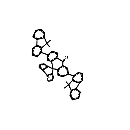 CC1(C)c2ccccc2-c2cccc(-c3ccc4c(c3)C(=O)c3ccc(-c5cccc6c5C(C)(C)c5ccccc5-6)cc3C43c4ccccc4-c4ccccc43)c21